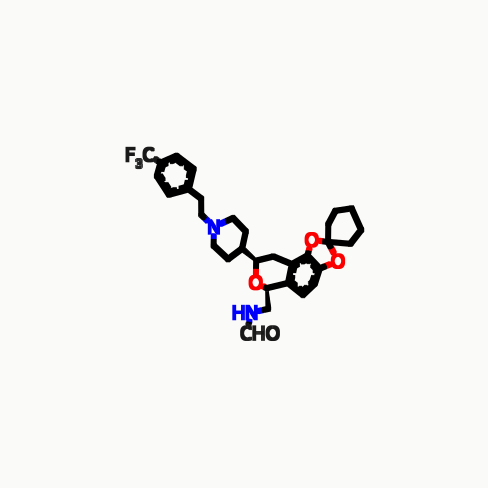 O=CNC[C@H]1O[C@@H](C2CCN(CCc3ccc(C(F)(F)F)cc3)CC2)Cc2c1ccc1c2OC2(CCCCC2)O1